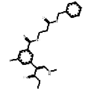 CCC(=N)/C(=C\NC)c1cc(F)cc(C(=O)NCCC(=O)OCc2ccccc2)c1